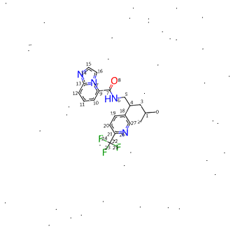 CC(C)CC(CNC(=O)c1cccc2nccn12)c1ccc(C(F)(F)F)nc1